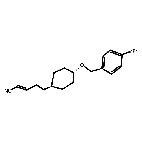 CCCc1ccc(CO[C@H]2CC[C@H](CCC=CC#N)CC2)cc1